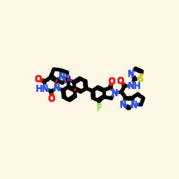 O=C1CCN(c2ccccc2CN2C3CCC2CN(c2ccc(-c4cc(F)c5c(c4)C(=O)N(C(C(=O)Nc4nccs4)c4ncn6c4CCC6)C5)cc2)C3)C(=O)N1